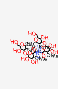 CO[C@@H]1C(C(=O)NNC(=O)C2O[C@@H](O[C@H]3C(NC(C)=O)[C@H](C)OC(CO)[C@H]3O)C(O)[C@H](O)[C@@H]2OC)O[C@@H](OC2[C@H](O)C(CO)O[C@@H](C)[C@H]2NC(C)=O)C(O)C1O